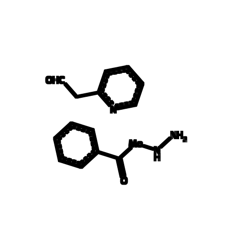 N[NH][Mo][C](=O)c1ccccc1.O=CCc1ccccn1